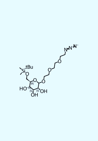 CC(C)(C)[Si](C)(C)OC[C@H]1OC(OCCOCCOCCN=[N+]=[N-])[C@@H](O)[C@@H](O)[C@@H]1O